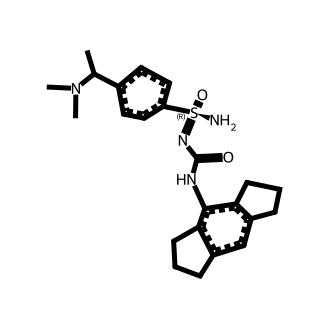 CC(c1ccc([S@](N)(=O)=NC(=O)Nc2c3c(cc4c2CCC4)CCC3)cc1)N(C)C